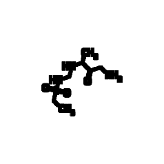 CCS(=O)(=O)NCN[C@@H](C)C(=O)CN